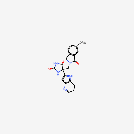 COc1ccc2c(c1)C(=O)N(C[C@@]1(c3cc4c([nH]3)CCC=N4)NC(=O)NC1=O)C2